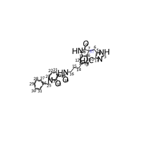 Cc1nc[nH]c1/C=C1/C(=O)Nc2cc(CCCNC(=O)c3cccn(Cc4ccccc4)c3=O)ccc21